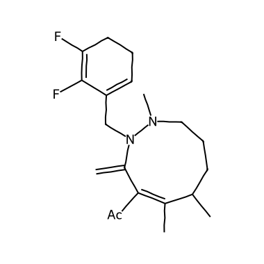 C=C1/C(C(C)=O)=C(/C)C(C)CCCN(C)N1CC1=CCCC(F)=C1F